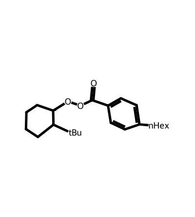 CCCCCCc1ccc(C(=O)OO[C]2CCCCC2C(C)(C)C)cc1